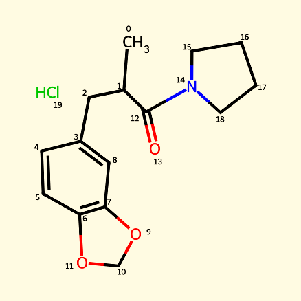 CC(Cc1ccc2c(c1)OCO2)C(=O)N1CCCC1.Cl